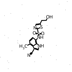 Cc1ccc(NS(=O)(=O)c2ncc(CCO)s2)c2[nH]cc(C#N)c12